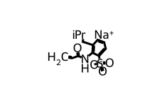 C=CC(=O)Nc1c(CC(C)C)cccc1S(=O)(=O)[O-].[Na+]